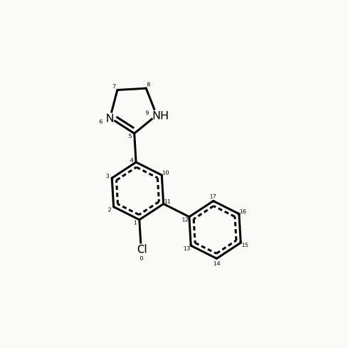 Clc1ccc(C2=NCCN2)cc1-c1ccccc1